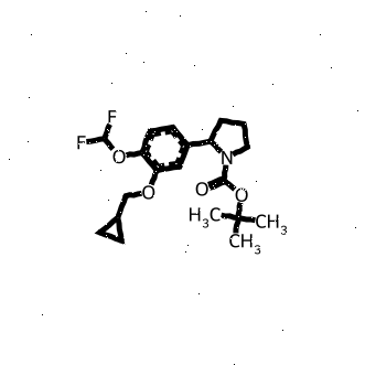 CC(C)(C)OC(=O)N1CCCC1c1ccc(OC(F)F)c(OCC2CC2)c1